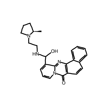 C[C@@H]1CCCN1CCNC(O)c1cccn2c(=O)c3ccc4ccccc4c3nc12